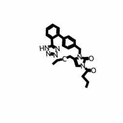 CCCCc1cn(C(=O)CCC)c(=O)n1Cc1ccc(-c2ccccc2-c2nnn[nH]2)cc1